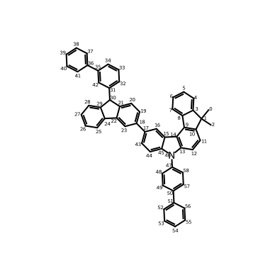 CC1(C)c2ccccc2-c2c1ccc1c2c2cc(-c3ccc4c(c3)-c3ccccc3C4c3cccc(-c4ccccc4)c3)ccc2n1-c1ccc(-c2ccccc2)cc1